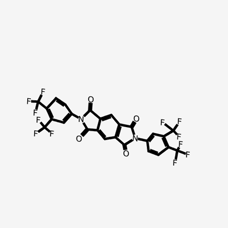 O=c1c2cc3c(=O)n(-c4ccc(C(F)(F)F)c(C(F)(F)F)c4)c(=O)c3cc2c(=O)n1-c1ccc(C(F)(F)F)c(C(F)(F)F)c1